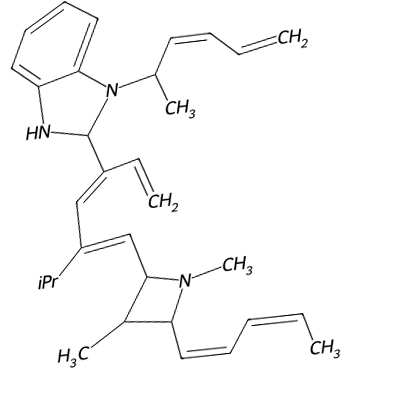 C=C/C=C\C(C)N1c2ccccc2NC1/C(C=C)=C/C(=CC1C(C)C(/C=C\C=C/C)N1C)C(C)C